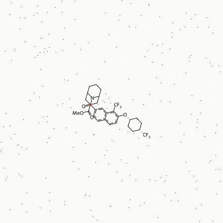 COC(=O)C1CC2CCCC(C1)N2C(=O)c1ccc2ccc(O[C@H]3CC[C@@H](C(F)(F)F)CC3)c(C(F)(F)F)c2c1